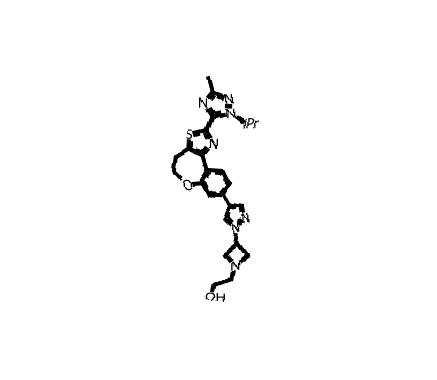 Cc1nc(-c2nc3c(s2)CCOc2cc(-c4cnn(C5CN(CCO)C5)c4)ccc2-3)n(C(C)C)n1